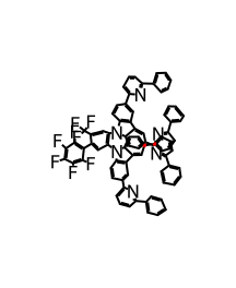 Fc1c(F)c(F)c(-c2cc(-n3c4ccc(-c5cccc(-c6ccccc6)n5)cc4c4cc(-c5cccc(-c6ccccc6)n5)ccc43)c(-n3c4ccc(-c5cccc(-c6ccccc6)n5)cc4c4cc(-c5cccc(-c6ccccc6)n5)ccc43)cc2C(F)(F)F)c(F)c1F